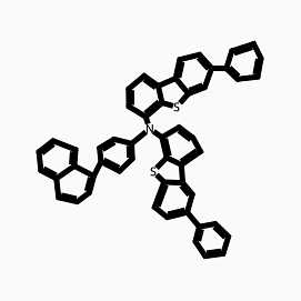 c1ccc(-c2ccc3c(c2)sc2c(N(c4ccc(-c5cccc6ccccc56)cc4)c4cccc5c4sc4ccc(-c6ccccc6)cc45)cccc23)cc1